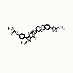 Cc1nc(-c2ccc(CN3CCC(O)(Cn4cnc5c(-c6ccc(COC(N)=O)cc6)n(C)nc5c4=O)CC3)c(Cl)c2)no1